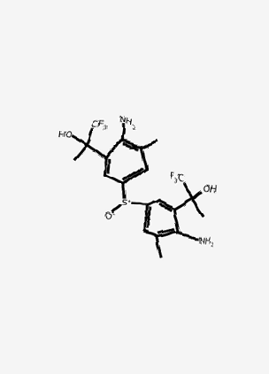 Cc1cc([S+]([O-])c2cc(C)c(N)c(C(C)(O)C(F)(F)F)c2)cc(C(C)(O)C(F)(F)F)c1N